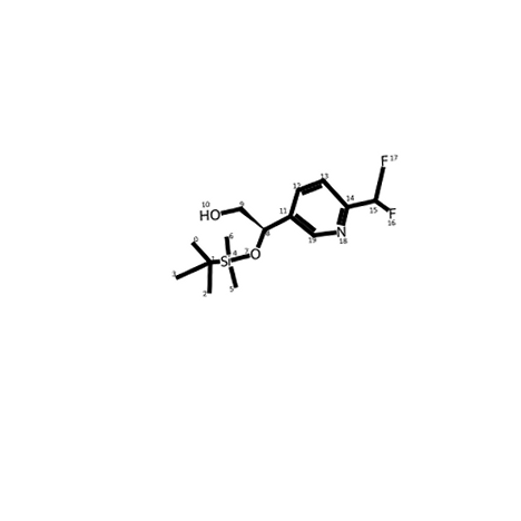 CC(C)(C)[Si](C)(C)O[C@@H](CO)c1ccc(C(F)F)nc1